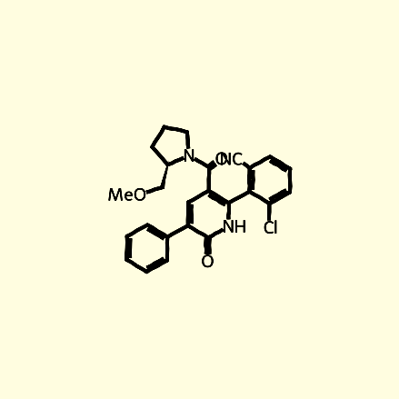 COC[C@H]1CCCN1C(=O)c1cc(-c2ccccc2)c(=O)[nH]c1-c1c(Cl)cccc1C#N